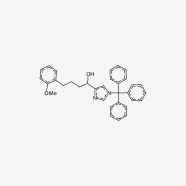 COc1ccccc1CCCC(O)c1cn(C(c2ccccc2)(c2ccccc2)c2ccccc2)cn1